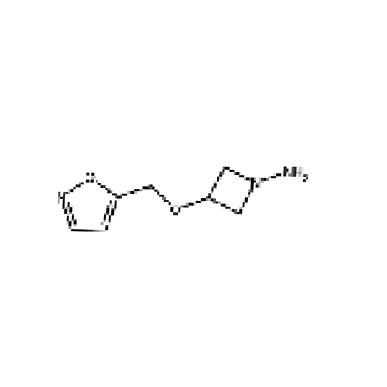 NN1CC(OCc2ccno2)C1